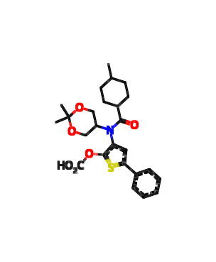 CC1CCC(C(=O)N(c2cc(-c3ccccc3)sc2OC(=O)O)C2COC(C)(C)OC2)CC1